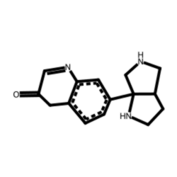 O=C1C=Nc2cc(C34CNCC3CCN4)ccc2C1